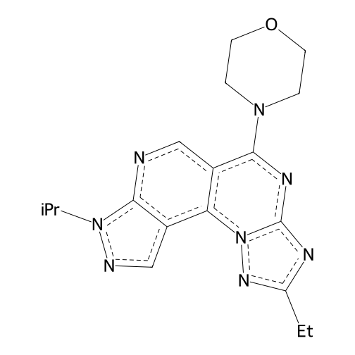 CCc1nc2nc(N3CCOCC3)c3cnc4c(cnn4C(C)C)c3n2n1